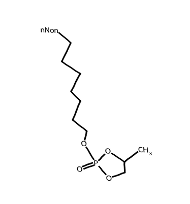 CCCCCCCCCCCCCCCCOP1(=O)OCC(C)O1